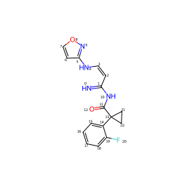 N=C(/C=C\Nc1ccon1)NC(=O)C1(c2ccccc2F)CC1